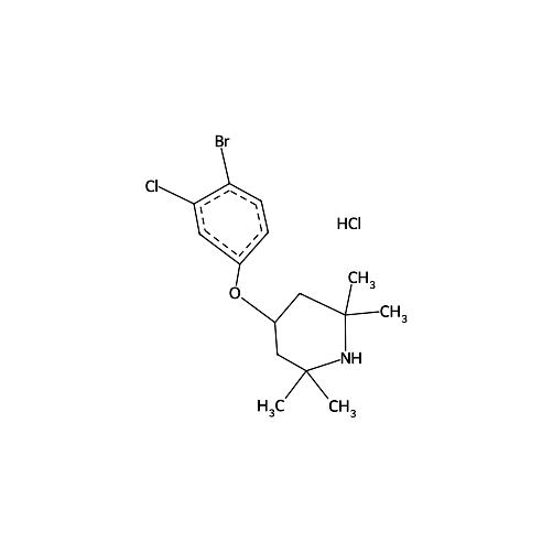 CC1(C)CC(Oc2ccc(Br)c(Cl)c2)CC(C)(C)N1.Cl